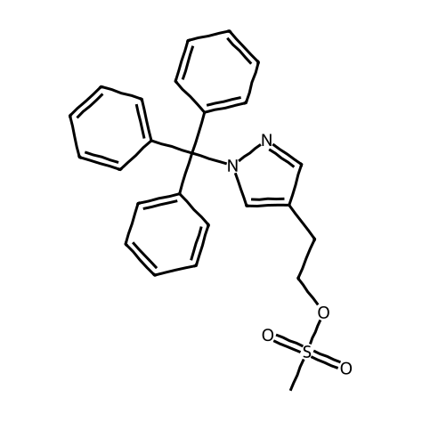 CS(=O)(=O)OCCc1cnn(C(c2ccccc2)(c2ccccc2)c2ccccc2)c1